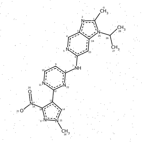 Cc1nc2cnc(Nc3ccnc(-c4cn(C)nc4[N+](=O)[O-])n3)cc2n1C(C)C